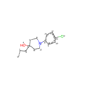 CCCC1(O)CCN(c2ccc(Cl)cc2)CC1